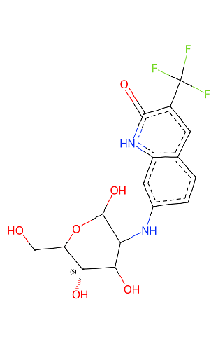 O=c1[nH]c2cc(NC3C(O)OC(CO)[C@@H](O)C3O)ccc2cc1C(F)(F)F